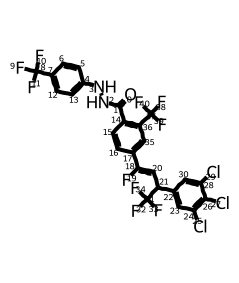 O=C(NNc1ccc(C(F)(F)F)cc1)c1ccc(/C(F)=C/C(c2cc(Cl)c(Cl)c(Cl)c2)C(F)(F)F)cc1C(F)(F)F